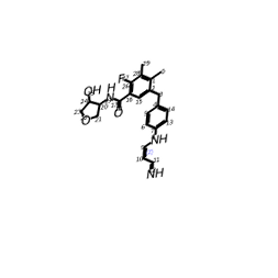 Cc1c(Cc2ccc(N/C=C\C=N)cc2)cc(C(=O)NC2COCC2O)c(F)c1C